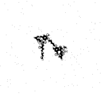 C=C1C[C@H]2[C@H](O)N(C(=O)OCC(=O)CCOCCOC)c3cc(OCCCCCOc4cc5c(cc4C)C(=O)N4CC(=C)C[C@H]4[C@H](O)C5C(=O)OCC)c(OC)cc3CN2C1